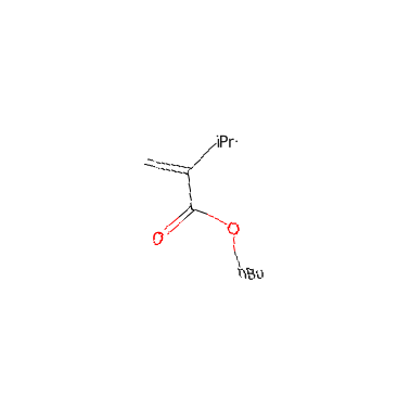 C=C([C](C)C)C(=O)OCCCC